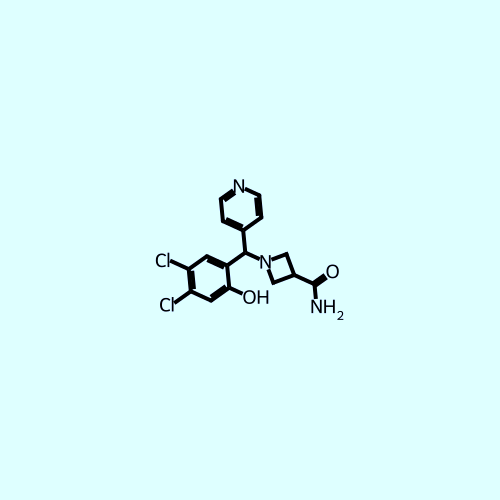 NC(=O)C1CN(C(c2ccncc2)c2cc(Cl)c(Cl)cc2O)C1